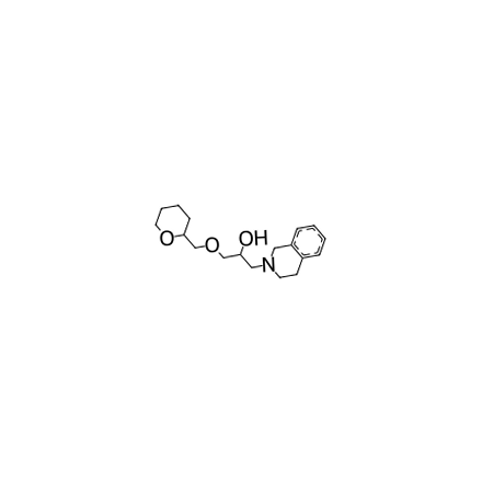 OC(COCC1CCCCO1)CN1CCc2ccccc2C1